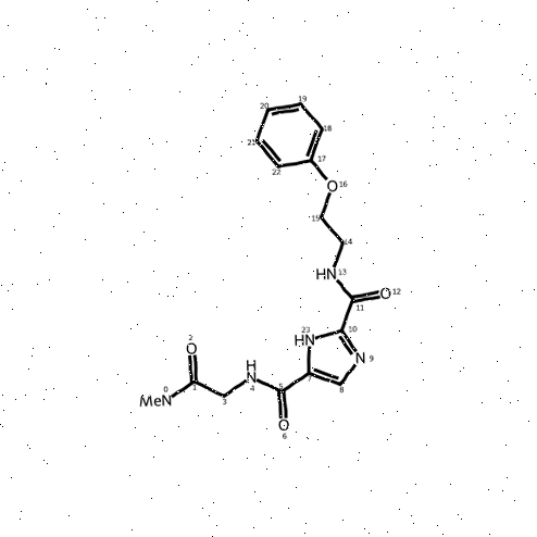 CNC(=O)CNC(=O)c1cnc(C(=O)NCCOc2ccccc2)[nH]1